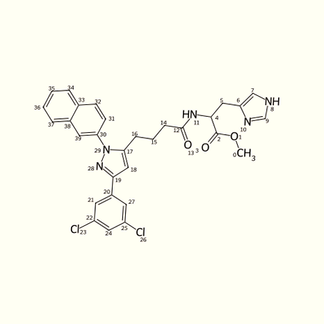 COC(=O)C(Cc1c[nH]cn1)NC(=O)CCCc1cc(-c2cc(Cl)cc(Cl)c2)nn1-c1ccc2ccccc2c1